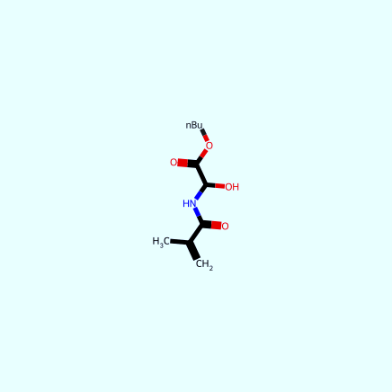 C=C(C)C(=O)NC(O)C(=O)OCCCC